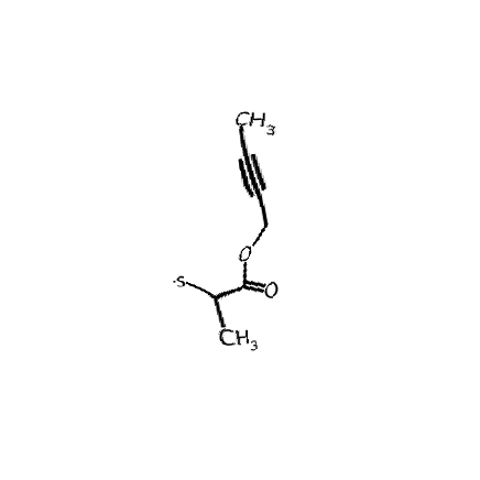 CC#CCOC(=O)C(C)[S]